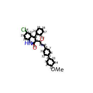 COc1ccc(-c2ccc(/C=C/C(=O)c3c(-c4ccccc4)c4cc(Cl)ccc4[nH]c3=O)cc2)cc1